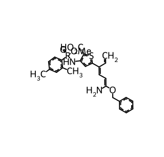 C=C/C(=C\C=C(/N)OCc1ccccc1)c1cc(NP(=O)(OC)c2ccc(C)cc2C)c(C(=O)O)s1